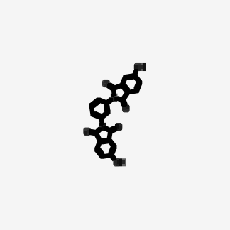 O=C1c2ccc(O)cc2C(=O)N1c1cccc(N2C(=O)c3ccc(O)cc3C2=O)c1